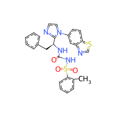 Cc1ccccc1S(=O)(=O)NC(=O)N[C@@H](Cc1ccccc1)c1nccn1-c1ccc2scnc2c1